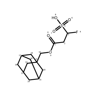 O=C(CC(F)S(=O)(=O)O)OCC12CC3CC(CC(C3)C1)C2